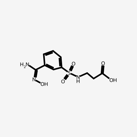 N/C(=N/O)c1cccc(S(=O)(=O)NCCC(=O)O)c1